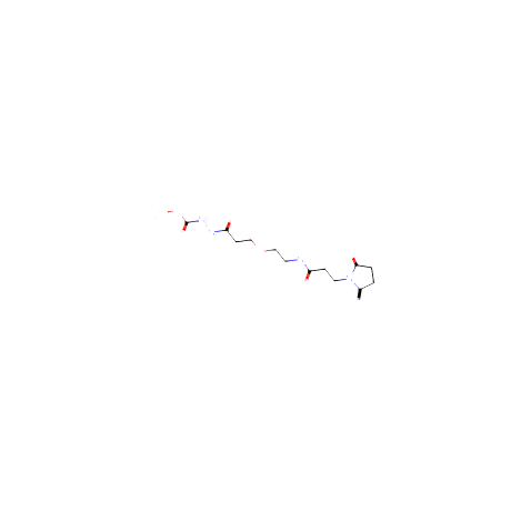 C=C1CCC(=O)N1CCC(=O)NCCOCCC(=O)NNC(=O)OC